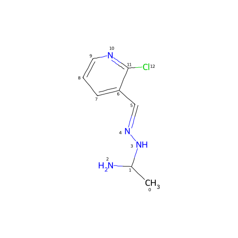 CC(N)N/N=C/c1cccnc1Cl